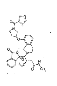 CNC(=O)C[C@@H](C)C(=O)N1CCc2cccc(O[C@H]3CCN(C(=O)c4cncs4)C3)c2[C@H]1CN1C(=O)c2ccccc2C1=O